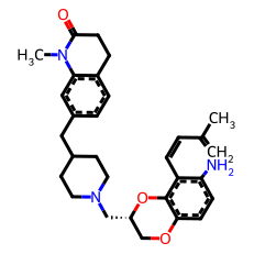 C=C(C)/C=C\c1c(N)ccc2c1O[C@@H](CN1CCC(Cc3ccc4c(c3)N(C)C(=O)CC4)CC1)CO2